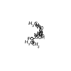 CN(C)Cc1cc(F)ccc1Cc1cnc(-c2nc3n(CC(=O)N4CCN(C)CC4)ccn3c(=O)c2O)s1